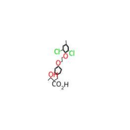 Cc1cc(Cl)c(OCCOc2ccc(CC(C(=O)O)C(C)O)cc2)c(Cl)c1